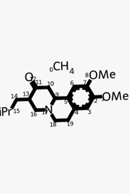 C.COc1cc2c(cc1OC)C1CC(=O)C(CC(C)C)CN1CC2